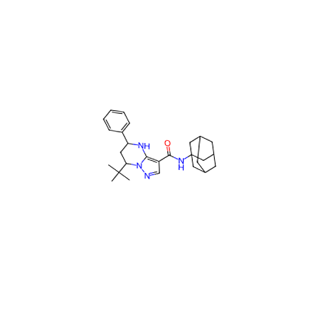 CC(C)(C)C1CC(c2ccccc2)Nc2c(C(=O)NC34CC5CC(CC(C5)C3)C4)cnn21